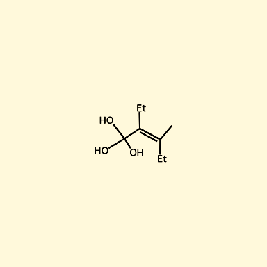 CCC(C)=C(CC)C(O)(O)O